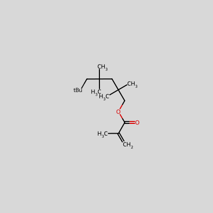 C=C(C)C(=O)OCC(C)(C)CC(C)(C)CC(C)(C)C